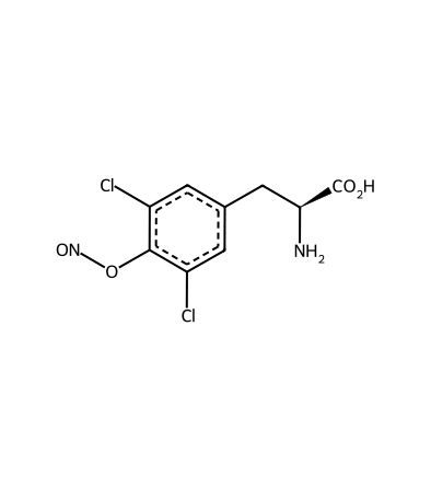 N[C@@H](Cc1cc(Cl)c(ON=O)c(Cl)c1)C(=O)O